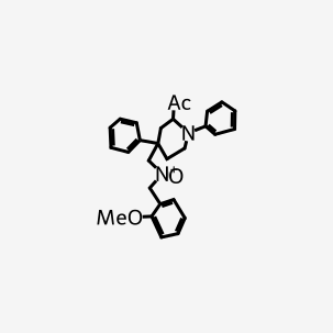 COc1ccccc1C[N+](=O)CC1(c2ccccc2)CCN(c2ccccc2)C(C(C)=O)C1